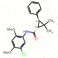 COc1cc(OC)c(NC(=O)[C@@H]2[C@@H](c3ccccc3)C2(C)C)cc1Cl